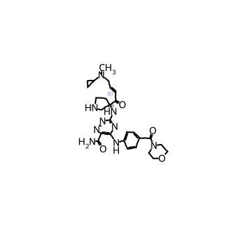 CN(C/C=C/C(=O)[C@@]1(Nc2nnc(C(N)=O)c(Nc3ccc(C(=O)N4CCOCC4)cc3)n2)CCNC1)C1CC1